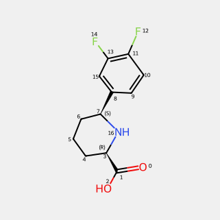 O=C(O)[C@H]1CCC[C@@H](c2ccc(F)c(F)c2)N1